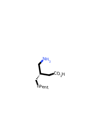 CCCCCC[C@H](CN)CC(=O)O